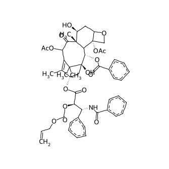 C=CCOC(=O)O[C@@H](C(=O)O[C@H]1C[C@@]2(O)[C@@H](OC(=O)c3ccccc3)C3[C@]4(OC(C)=O)COC4C[C@H](O)[C@@]3(C)C(=O)C(OC(C)=O)C(=C1C)C2(C)C)[C@H](NC(=O)c1ccccc1)c1ccccc1